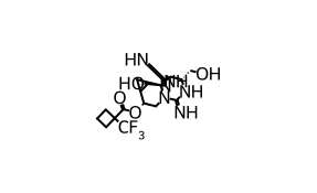 N=C1NC2[C@H](CO)NC(=N)N3C[C@H](OC(=O)C4(C(F)(F)F)CCC4)C4CC4C23N1O